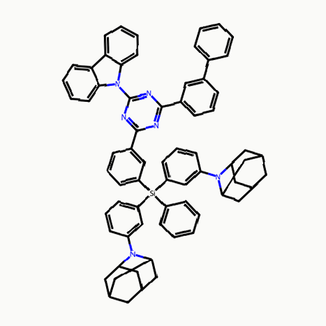 c1ccc(-c2cccc(-c3nc(-c4cccc([Si](c5ccccc5)(c5cccc(N6C7CC8CC(C7)CC6C8)c5)c5cccc(N6C7CC8CC(C7)CC6C8)c5)c4)nc(-n4c5ccccc5c5ccccc54)n3)c2)cc1